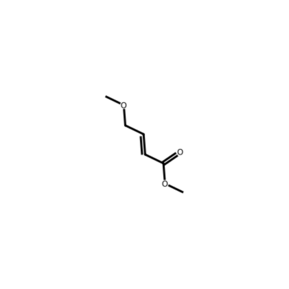 COCC=CC(=O)OC